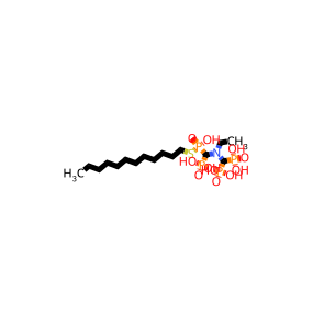 CCCCCCCCCCCCSP(=O)(O)C(N(CC)C(P(=O)(O)O)P(=O)(O)O)P(=O)(O)O